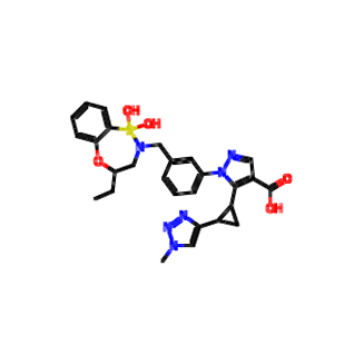 CCC1CN(Cc2cccc(-n3ncc(C(=O)O)c3C3CC3c3cn(C)nn3)c2)S(O)(O)c2ccccc2O1